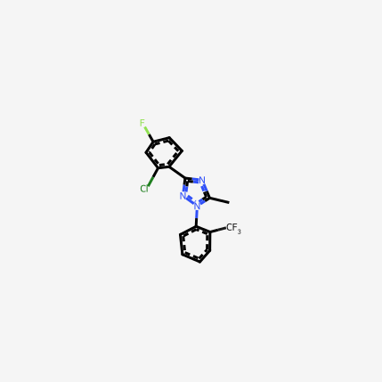 Cc1nc(-c2ccc(F)cc2Cl)nn1-c1ccccc1C(F)(F)F